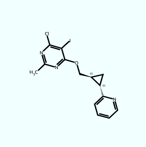 Cc1nc(Cl)c(I)c(OC[C@H]2C[C@@H]2c2ccccn2)n1